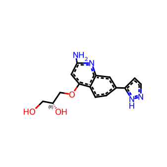 Nc1cc(OC[C@H](O)CO)c2ccc(-c3ccn[nH]3)cc2n1